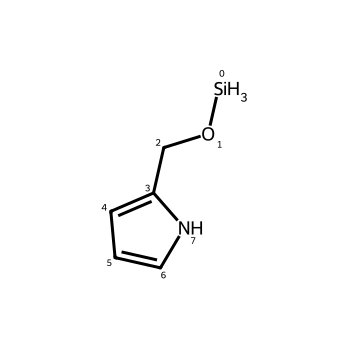 [SiH3]OCc1ccc[nH]1